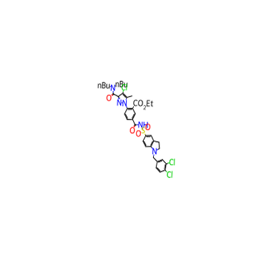 CCCCN(CCCC)C(=O)c1nn(-c2ccc(C(=O)NS(=O)(=O)c3ccc4c(c3)CCN4Cc3ccc(Cl)c(Cl)c3)cc2C(=O)OCC)c(C)c1Cl